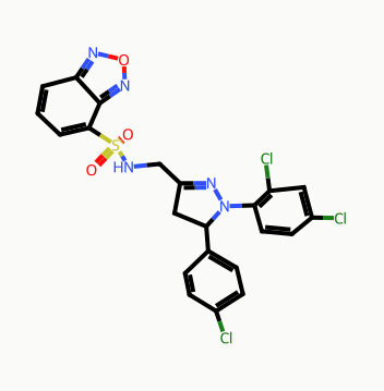 O=S(=O)(NCC1=NN(c2ccc(Cl)cc2Cl)C(c2ccc(Cl)cc2)C1)c1cccc2nonc12